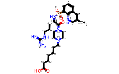 CC1CNc2c(cccc2S(=O)(=O)N[C@@H](CCCNC(=N)N)C(=O)N2CCN(CCCCCCC(=O)O)CC2)C1